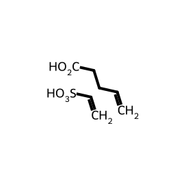 C=CCCC(=O)O.C=CS(=O)(=O)O